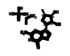 CCN.C[C@H]1O[C@@H](n2cnc3c(=O)[nH]c(N)nc32)[C@H](O)[C@H]1O.O=P(O)(O)O